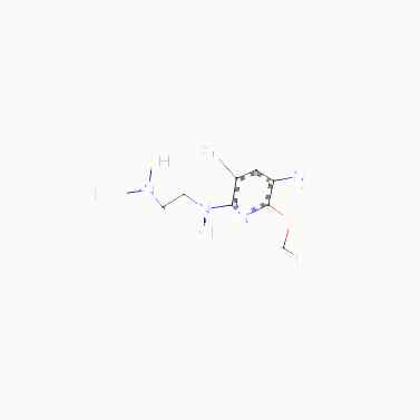 CCc1cc(N)c(OCC(F)(F)F)nc1N(C)CCN(C)C